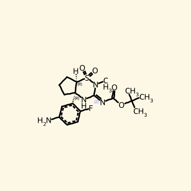 CN1/C(=N\C(=O)OC(C)(C)C)N[C@@]2(c3cc(N)ccc3F)CCC[C@H]2S1(=O)=O